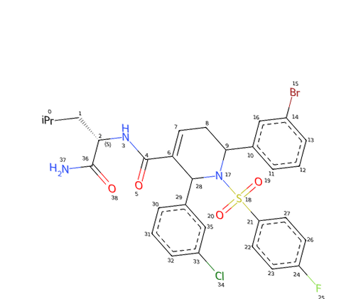 CC(C)C[C@H](NC(=O)C1=CCC(c2cccc(Br)c2)N(S(=O)(=O)c2ccc(F)cc2)C1c1cccc(Cl)c1)C(N)=O